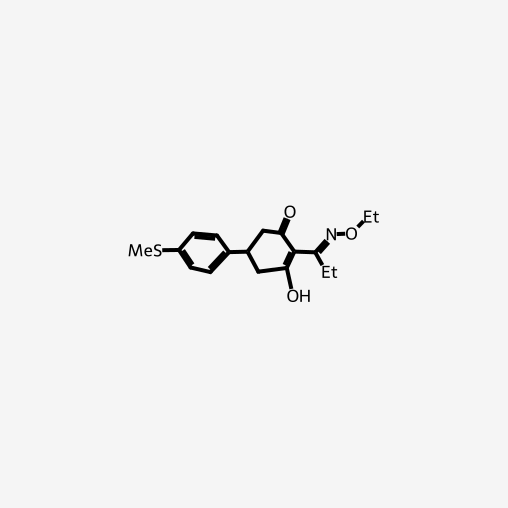 CCON=C(CC)C1=C(O)CC(c2ccc(SC)cc2)CC1=O